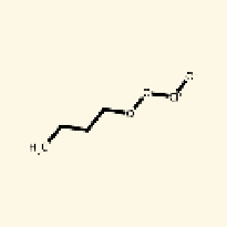 CCCCOO[Cl+][O-]